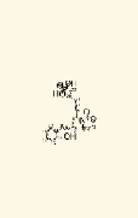 O=C1OCC[C@H](/C=C/C(O)Cc2ccccc2)N1CC#CCCCP(=O)(O)O